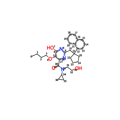 CCCCOc1c(O)nc(CC2(c3cccc4ccccc34)CCCC2)nc1C(=O)N(CCO)C1CC1